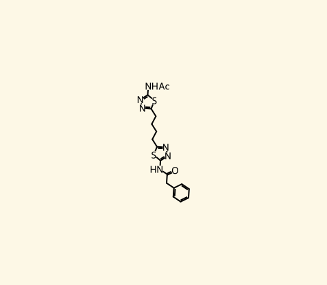 CC(=O)Nc1nnc(CCCCc2nnc(NC(=O)Cc3ccccc3)s2)s1